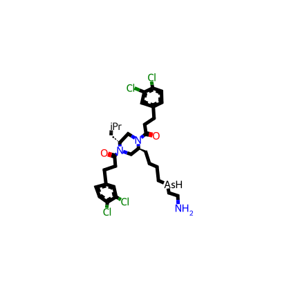 CC(C)C[C@@H]1CN(C(=O)CCc2ccc(Cl)c(Cl)c2)[C@@H](CCCC[AsH]CCN)CN1C(=O)CCc1ccc(Cl)c(Cl)c1